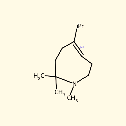 CC(C)/C1=C\CCN(C)C(C)(C)CC1